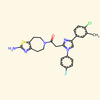 Cc1cc(-c2cn(-c3ccc(F)cc3)c(CC(=O)N3CCc4nc(N)sc4CC3)n2)ccc1Cl